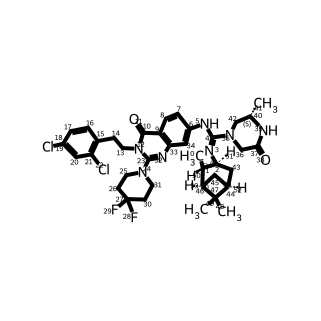 C[C@@H]1[C@@H](N=C(Nc2ccc3c(=O)n(CCc4ccc(Cl)cc4Cl)c(N4CCC(F)(F)CC4)nc3c2)N2CC(=O)N[C@@H](C)C2)C[C@@H]2C[C@H]1C2(C)C